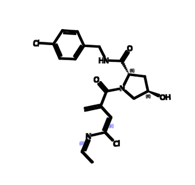 C=C(/C=C(Cl)\N=C/C)C(=O)N1C[C@H](O)C[C@H]1C(=O)NCc1ccc(Cl)cc1